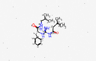 CC(C)CNC(=O)[C@@H](Cc1ccccc1)NC(=N)NC(=O)CC(C)C